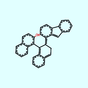 Oc1ccc2ccccc2c1C1=c2ccccc2=CCC1=c1cccc2c1=Cc1ccccc1-2